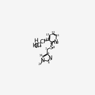 Cl.Cl.Cn1cnc(CSc2ncccc2Cl)c1